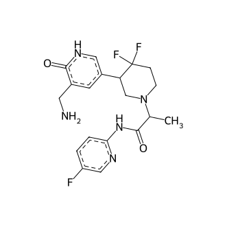 CC(C(=O)Nc1ccc(F)cn1)N1CCC(F)(F)C(c2c[nH]c(=O)c(CN)c2)C1